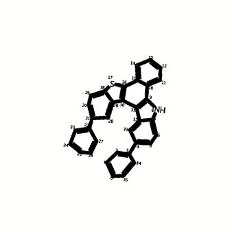 c1ccc(-c2ccc3[nH]c4c5ccccc5c5sc6ccc(-c7ccccc7)cc6c5c4c3c2)cc1